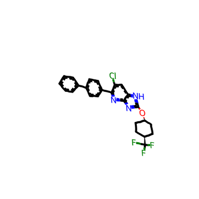 FC(F)(F)[C@H]1CC[C@H](Oc2nc3nc(-c4ccc(-c5ccccc5)cc4)c(Cl)cc3[nH]2)CC1